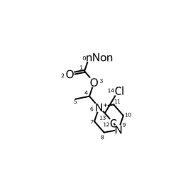 CCCCCCCCCC(=O)OC(C)[N+]12CCN(CC1)CC2Cl